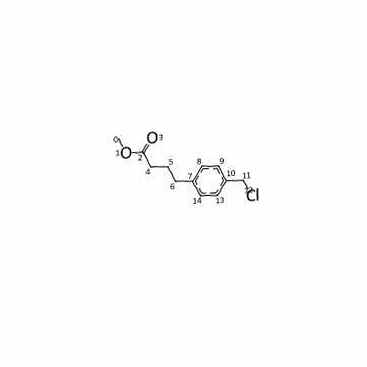 COC(=O)CCCc1ccc(CCl)cc1